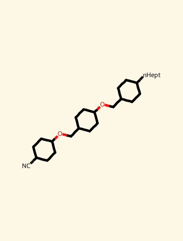 CCCCCCCC1CCC(COC2CCC(COC3CCC(C#N)CC3)CC2)CC1